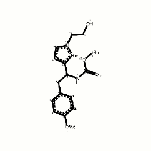 COc1ccc(CC(NC(=O)OC(C)(C)C)c2ccn(CCO)n2)cc1